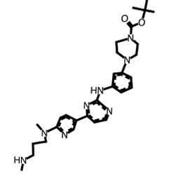 CNCCCN(C)c1ccc(-c2ccnc(Nc3cccc(N4CCN(C(=O)OC(C)(C)C)CC4)c3)n2)cn1